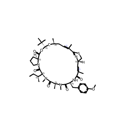 CC[C@H](C)[C@H]1C(=O)N2CCC[C@H]2C(=O)O[C@H](C(C)(C)C)C[C@@H](C)C/C=C(\C)C2=N[C@@H](/C=C(\C)C(=O)N[C@@H](Cc3ccc(OC)cc3)C(=O)N(C)[C@@H](C)C(=O)N1C)CS2